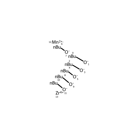 CCCC[O-].CCCC[O-].CCCC[O-].CCCC[O-].CCCC[O-].CCCC[O-].[Mn+2].[Zr+4]